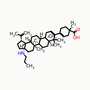 C=C(C)[C@@H]1CC[C@]2(NCCC)CC[C@]3(C)[C@H](CC[C@@H]4[C@@]5(C)CC=C(C6=CCC(C)(C(=O)O)CC6)C(C)(C)[C@@H]5CC[C@]43C)[C@@H]12